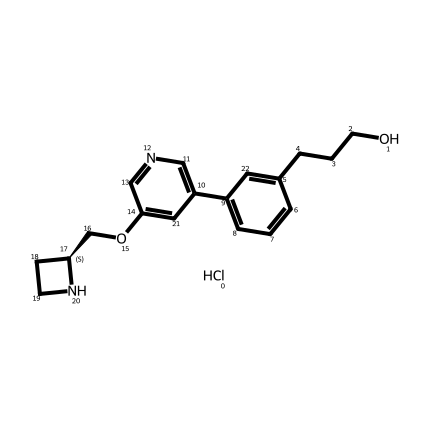 Cl.OCCCc1cccc(-c2cncc(OC[C@@H]3CCN3)c2)c1